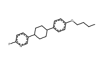 CCCCOc1ccc(C2CCC(c3ccc(F)nc3)CC2)cc1